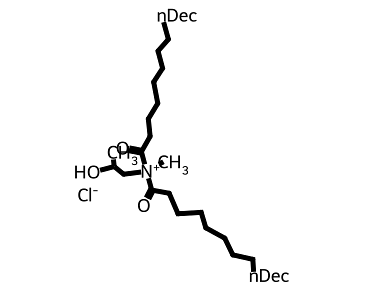 CCCCCCCCCCCCCCCCCC(=O)[N+](C)(CC(C)O)C(=O)CCCCCCCCCCCCCCCCC.[Cl-]